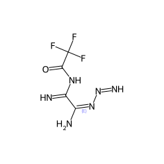 N=N/N=C(/N)C(=N)NC(=O)C(F)(F)F